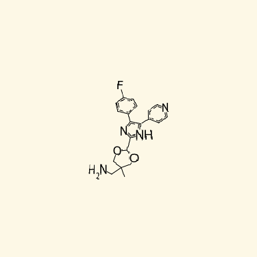 CC1(CN)COC(c2nc(-c3ccc(F)cc3)c(-c3ccncc3)[nH]2)OC1